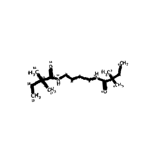 CCC(C)(C)C(=O)NCCCCNC(=O)C(C)(C)CC